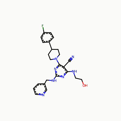 N#Cc1c(NCCO)nc(NCc2cccnc2)nc1N1CCC(c2ccc(F)cc2)CC1